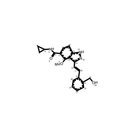 COc1c(C(=O)NC2CC2)ccc2[nH]nc(/C=C/c3ccccc3CO)c12